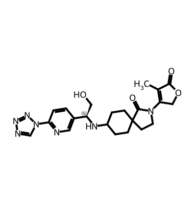 CC1=C(N2CCC3(CCC(N[C@H](CO)c4ccc(-n5cnnn5)nc4)CC3)C2=O)COC1=O